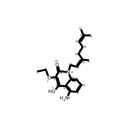 CCOc1c(O)c2c(N)cccc2n(CC=C(C)CCC=C(C)C)c1=O